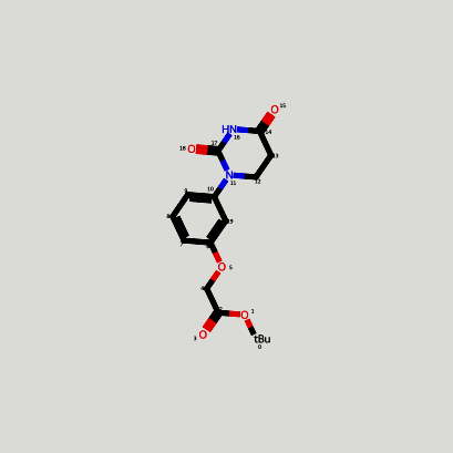 CC(C)(C)OC(=O)COc1cccc(N2CCC(=O)NC2=O)c1